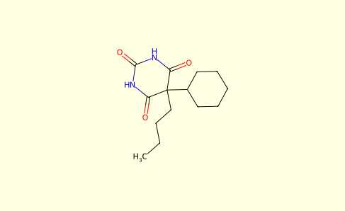 CCCCC1(C2CCCCC2)C(=O)NC(=O)NC1=O